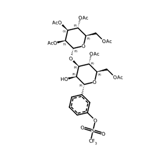 CC(=O)OC[C@H]1O[C@H](O[C@@H]2[C@H](O)[C@@H](c3cccc(OS(=O)(=O)C(F)(F)F)c3)O[C@H](COC(C)=O)[C@H]2OC(C)=O)[C@@H](OC(C)=O)[C@@H](OC(C)=O)[C@@H]1OC(C)=O